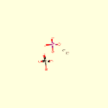 [K+].[K+].[O-][I+3]([O-])([O-])[O-].[O]=[Mn](=[O])(=[O])[O-]